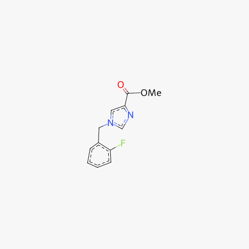 COC(=O)c1cn(Cc2ccccc2F)cn1